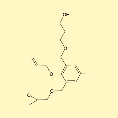 C=CCOc1c(COCCCO)cc(C)cc1COCC1CO1